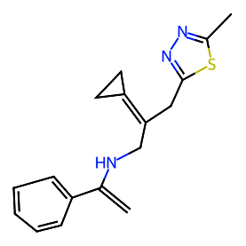 C=C(NCC(Cc1nnc(C)s1)=C1CC1)c1ccccc1